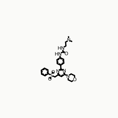 CN(C)CCNC(=O)Nc1ccc(-c2nc(CS(=O)(=O)c3ccccc3)cc(N3CCOCC3)n2)cc1